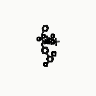 C[C@H](N[C@@H](Cc1ccc(-c2cc(Cl)ccc2Cl)cc1)C(=O)OCc1ccccc1)C(=O)OC(C)(C)C